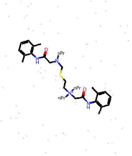 CCCN(CSCC[N+](CCC)(CCC)CC(=O)Nc1c(C)cccc1C)CC(=O)Nc1c(C)cccc1C